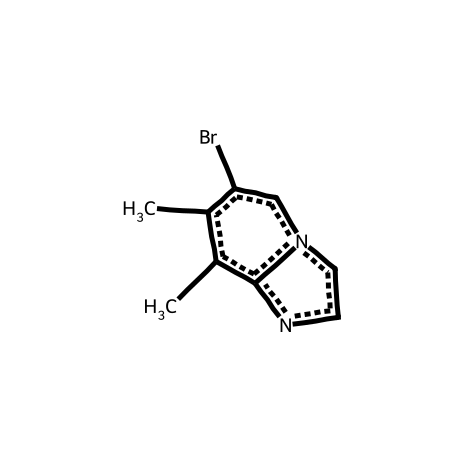 Cc1c(Br)cn2ccnc2c1C